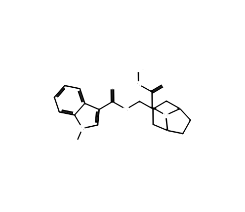 CCn1cc(C(=O)NCC2CC3CCC(C2)N3CC(=O)NC(C)(C)C)c2ccccc21